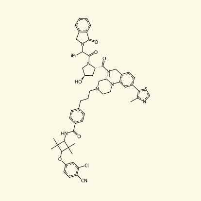 Cc1ncsc1-c1ccc(CNC(=O)[C@@H]2C[C@@H](O)CN2C(=O)C(C(C)C)N2Cc3ccccc3C2=O)c(N2CCN(CCCc3ccc(C(=O)NC4C(C)(C)C(Oc5ccc(C#N)c(Cl)c5)C4(C)C)cc3)CC2)c1